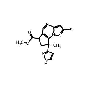 COC(=O)C1C[C@](C)(c2cc[nH]n2)c2c1cnc1cc(F)nn21